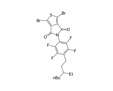 CCCCC(CC)CCc1c(F)c(F)c(N2C(=O)c3c(Br)sc(Br)c3C2=O)c(F)c1F